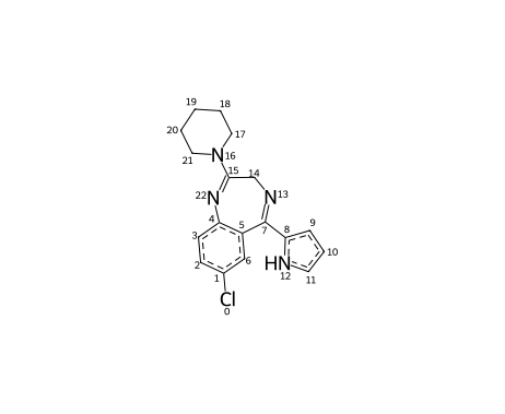 Clc1ccc2c(c1)C(c1ccc[nH]1)=NCC(N1CCCCC1)=N2